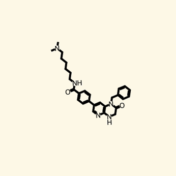 CN(C)CCCCCCNC(=O)c1ccc(-c2cnc3c(c2)N(Cc2ccccc2)C(=O)CN3)cc1